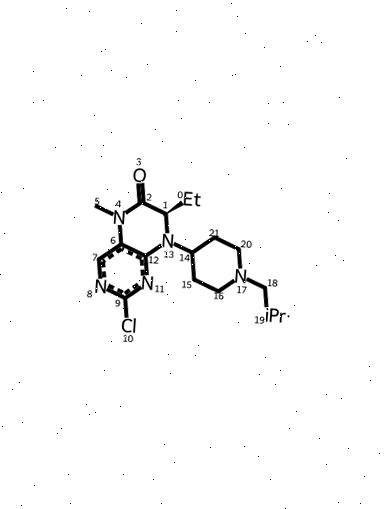 CC[C@@H]1C(=O)N(C)c2cnc(Cl)nc2N1C1CCN(C[C](C)C)CC1